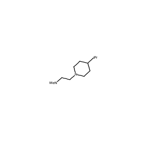 CNCCN1CCC(C(C)C)CC1